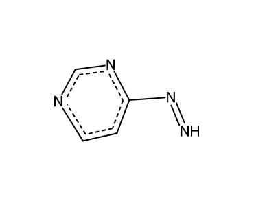 N=Nc1ccncn1